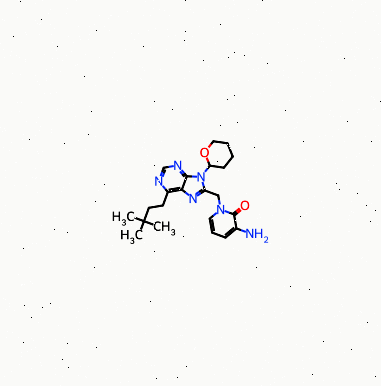 CC(C)(C)CCc1ncnc2c1nc(Cn1cccc(N)c1=O)n2C1CCCCO1